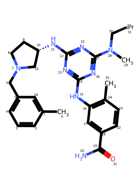 Cc1cccc(CN2CC[C@H](Nc3nc(Nc4cc(C(N)=O)ccc4C)nc(N(C)CC(C)C)n3)C2)c1